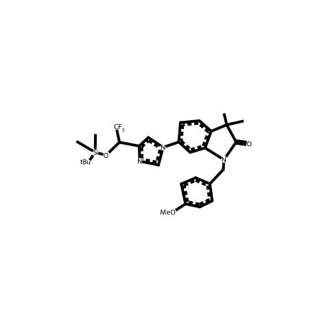 COc1ccc(CN2C(=O)C(C)(C)c3ccc(-n4cnc(C(O[Si](C)(C)C(C)(C)C)C(F)(F)F)c4)cc32)cc1